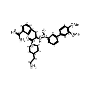 COc1ccc(-c2cccc([S+]([O-])NC(Cc3cccc(C(=N)N)c3)C(=O)N3CCC(CCN)CC3)c2)cc1OC